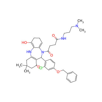 CN(C)CCCNC(=O)CCC(=O)N1C2=CCCC(O)=C2NC2=C(C(=O)CC(C)(C)C2)C1c1ccc(OCc2ccccc2)cc1Cl